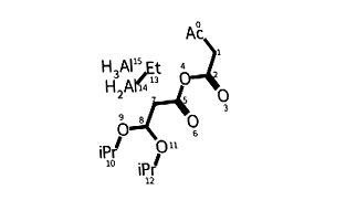 CC(=O)CC(=O)OC(=O)CC(OC(C)C)OC(C)C.C[CH2][AlH2].[AlH3]